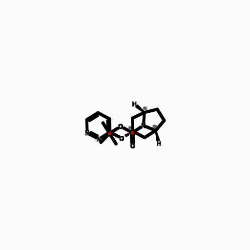 CC(C)(C)OC(=O)N1[C@@H]2CC[C@H]1C[C@@H](Oc1cccnn1)C2